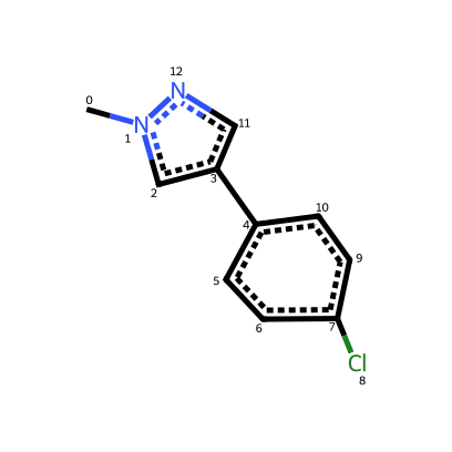 Cn1cc(-c2ccc(Cl)cc2)cn1